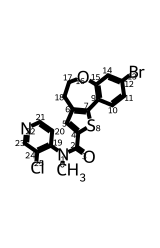 CN(C(=O)c1cc2c(s1)-c1ccc(Br)cc1OCC2)c1ccncc1Cl